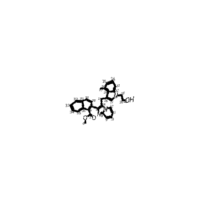 COC(=O)c1c(-c2nc3ccccn3c2Cc2cn(CCO)c3cccc(C)c23)ccc2ccccc12